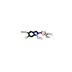 Cn1c(CO[Si](C)(C)C(C)(C)C)cc2cc(C=O)c(Cl)cc21